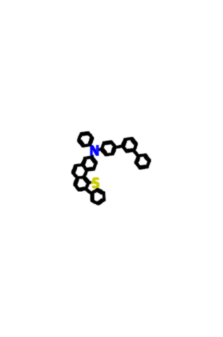 c1ccc(-c2cccc(-c3ccc(N(c4ccccc4)c4ccc5c(ccc6ccc7c8ccccc8sc7c65)c4)cc3)c2)cc1